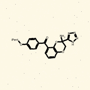 CCCC(C)Oc1ccc(C(=O)c2cccc3c2OC(N)(c2nnn[nH]2)CO3)cc1